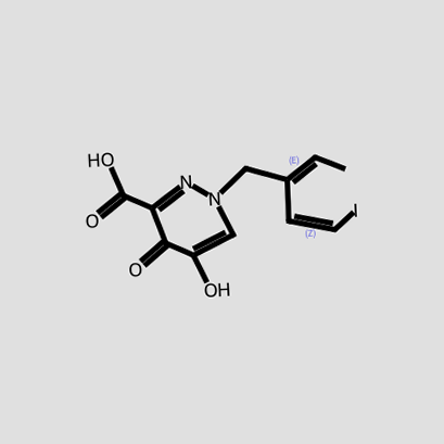 C/C=C(\C=C/I)Cn1cc(O)c(=O)c(C(=O)O)n1